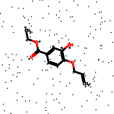 C=CCOc1ccc(C(=O)OCC)cc1O